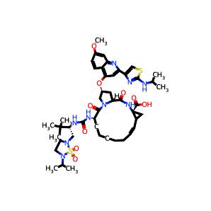 COc1ccc2c(O[C@@H]3C[C@H]4C(=O)N[C@]5(C(=O)O)CC5/C=C\CCCCC[C@H](NC(=O)N[C@H](CN5CCN(C(C)C)S5(=O)=O)C(C)(C)C)C(=O)N4C3)cc(-c3csc(NC(C)C)n3)nc2c1